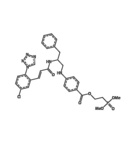 COP(=O)(CCOC(=O)c1ccc(NCC(Cc2ccccc2)NC(=O)C=Cc2cc(Cl)ccc2-n2cnnn2)cc1)OC